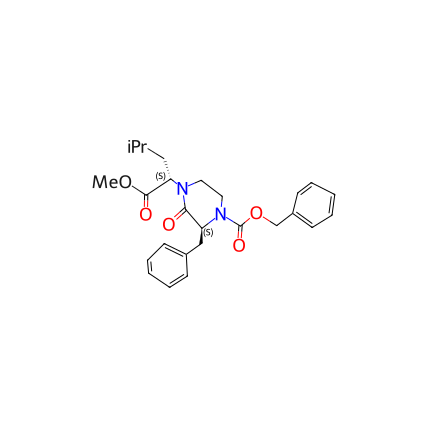 COC(=O)[C@H](CC(C)C)N1CCN(C(=O)OCc2ccccc2)[C@@H](Cc2ccccc2)C1=O